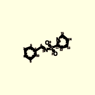 O=S(=O)(N=Cc1ccccc1)c1ccccn1